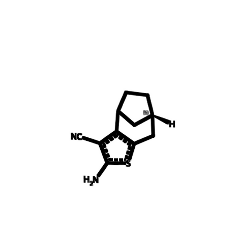 N#Cc1c(N)sc2c1C1CC[C@H](C2)C1